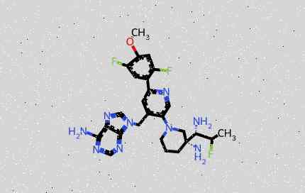 COc1cc(F)c(-c2cc(Cn3cnc4c(N)ncnc43)c(N3CCC[C@](N)([C@H](N)C(C)F)C3)cn2)cc1F